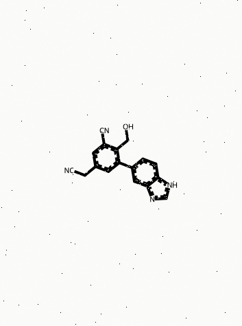 N#CCc1cc(C#N)c(CO)c(-c2ccc3[nH]cnc3c2)c1